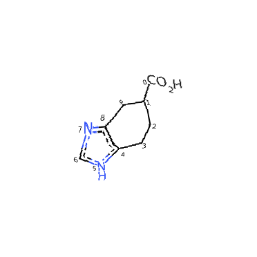 O=C(O)C1CCc2[nH]cnc2C1